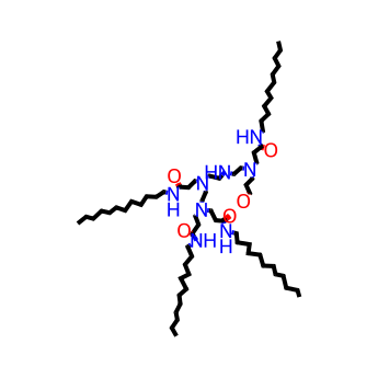 CCCCCCCCCCCCNC(=O)CCN(CCC=O)CCNCCN(CCC(=O)NCCCCCCCCCCCC)CCN(CCC(=O)NCCCCCCCCCCCC)CCC(=O)NCCCCCCCCCCCC